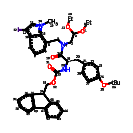 CCOC(CN(Cc1cccc2c(I)cn(C)c12)C(=O)[C@H](Cc1ccc(OC(C)(C)C)cc1)NC(=O)OCC1c2ccccc2-c2ccccc21)OCC